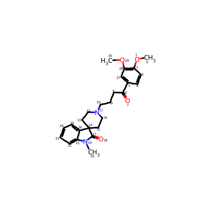 COc1ccc(C(=O)CCCN2CCC3(CC2)C(=O)N(C)c2ccccc23)cc1OC